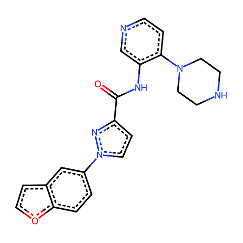 O=C(Nc1cnccc1N1CCNCC1)c1ccn(-c2ccc3occc3c2)n1